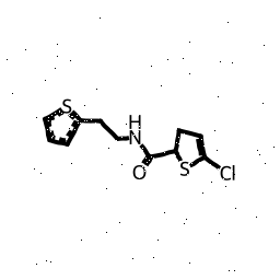 O=C(NCCc1cccs1)C1CC=C(Cl)S1